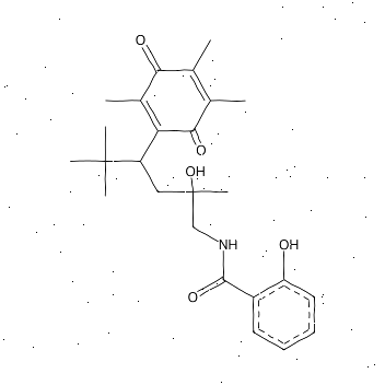 CC1=C(C)C(=O)C(C(CC(C)(O)CNC(=O)c2ccccc2O)C(C)(C)C)=C(C)C1=O